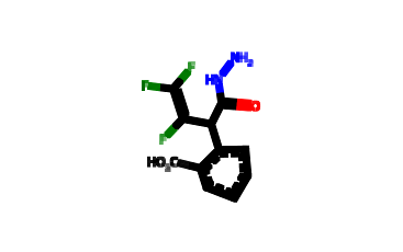 NNC(=O)C(C(F)=C(F)F)c1ccccc1C(=O)O